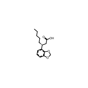 CCCCC[C@@H](CC(=O)O)c1cccc2c1OCO2